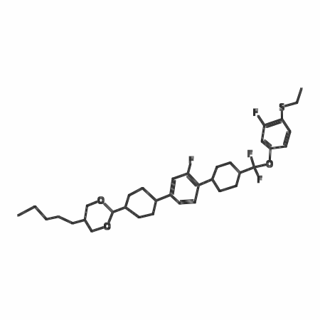 CCCCCC1COC(C2CCC(c3ccc(C4CCC(C(F)(F)Oc5ccc(SCC)c(F)c5)CC4)c(F)c3)CC2)OC1